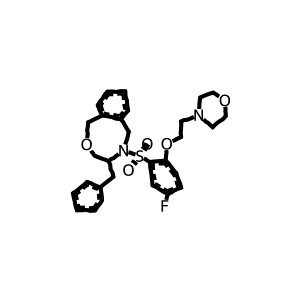 O=S(=O)(c1cc(F)ccc1OCCN1CCOCC1)N1Cc2ccccc2COCC1Cc1ccccc1